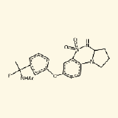 CC(=O)NC(C)(F)c1cccc(Oc2ccc3c(c2)S(=O)(=O)NC2CCCN32)c1